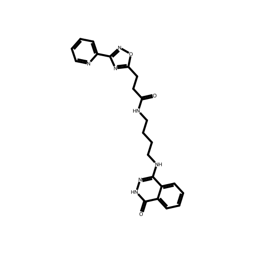 O=C(CCc1nc(-c2ccccn2)no1)NCCCCNc1n[nH]c(=O)c2ccccc12